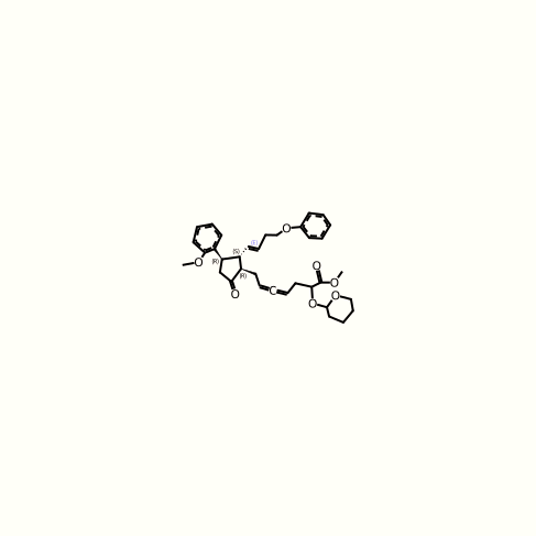 COC(=O)C(CC=C=CC[C@H]1C(=O)C[C@@H](c2ccccc2OC)[C@@H]1/C=C/CCOc1ccccc1)OC1CCCCO1